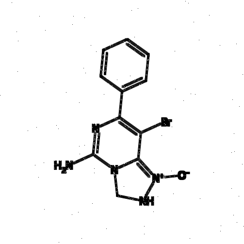 NC1=NC(c2ccccc2)=C(Br)C2=[N+]([O-])NCN12